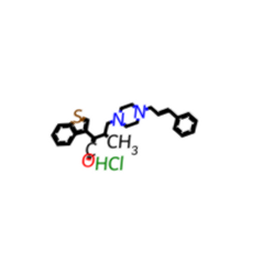 CC(CN1CCN(CC=Cc2ccccc2)CC1)C(=C=O)c1csc2ccccc12.Cl